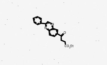 CCOC(=O)CCC(=O)c1ccc2nc(-c3ccccc3)cnc2c1